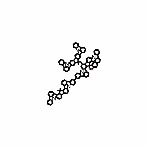 CC1(C)c2c(ccc3c2c2cccc4c5ccccc5n3c42)-c2ccc3c(c21)c1cccc2c4cc(-c5ccc6c(c5)c5cccc7c8c9c(c(CC%10(C)c%11cc%12c%13cccc%14c%15ccccc%15n(c%12cc%11-c%11cc%12c(cc%11%10)c%10cccc%11c%15ccccc%15n%12c%11%10)c%14%13)cc8n6c57)-c5ccc6c(c5C95c7ccccc7-c7ccccc75)c5cccc7c8ccccc8n6c75)ccc4n3c21